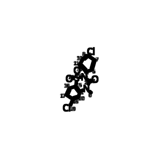 CN1C(=O)N(c2ccc(Cl)cc2)S(=O)(=O)c2ccc(Cl)cc21